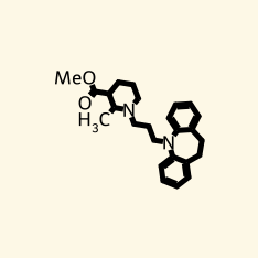 COC(=O)C1CCCN(CCCN2c3ccccc3CCc3ccccc32)C1C